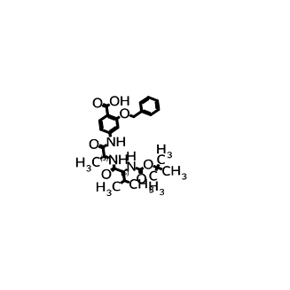 CC(C)[C@H](NC(=O)OC(C)(C)C)C(=O)N[C@@H](C)C(=O)Nc1ccc(C(=O)O)c(OCc2ccccc2)c1